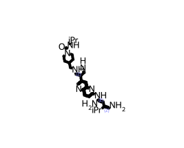 CC(C)NC(=O)N1CCC(CN/C=C(\C=N)c2cnc3ccc(N/C(N)=C/C(=C\N)C(C)C)nc3c2)CC1